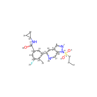 CCCS(=O)(=O)n1ncc2cc(-c3cc(C(=O)NC4CC4)cc(F)c3C)ncc21